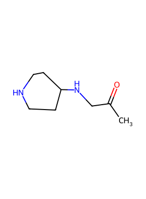 CC(=O)CNC1CCNCC1